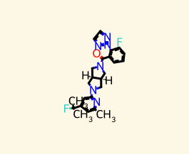 Cc1cc(C(C)(C)F)cc(N2C[C@H]3CN(C(=O)c4cccc(F)c4-n4nccn4)C[C@H]3C2)n1